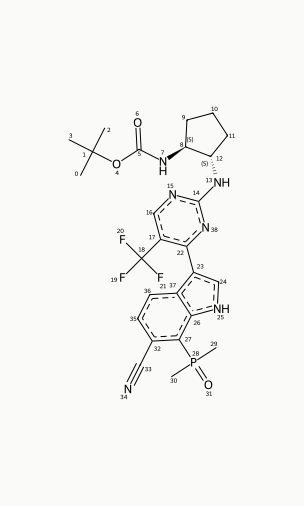 CC(C)(C)OC(=O)N[C@H]1CCC[C@@H]1Nc1ncc(C(F)(F)F)c(-c2c[nH]c3c(P(C)(C)=O)c(C#N)ccc23)n1